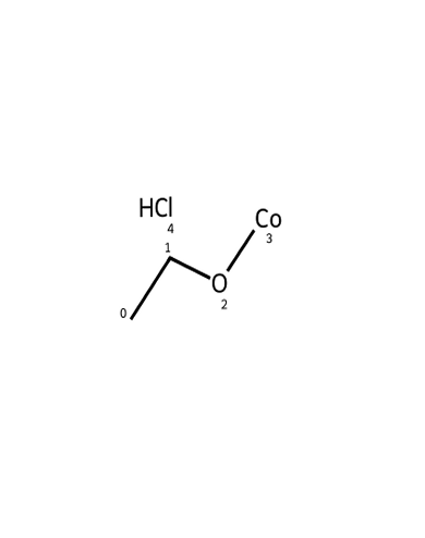 CC[O][Co].Cl